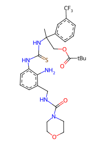 CC(C)(C)C(=O)OCC(C)(NC(=S)Nc1cccc(CNC(=O)N2CCOCC2)c1N)c1cccc(C(F)(F)F)c1